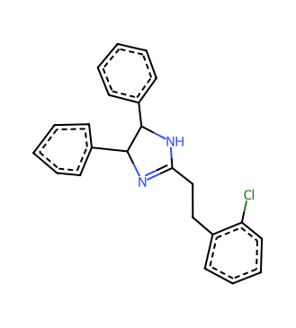 Clc1ccccc1CCC1=NC(c2ccccc2)C(c2ccccc2)N1